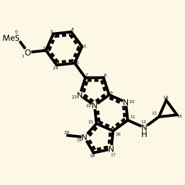 CSOc1cccc(-c2cc3nc(NC4CC4)c4ncn(C)c4n3n2)c1